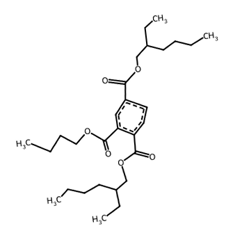 CCCCOC(=O)c1cc(C(=O)OCC(CC)CCCC)ccc1C(=O)OCC(CC)CCCC